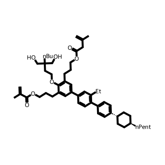 C=C(C)CC(=O)OCCCc1cc(-c2ccc(-c3ccc([C@H]4CC[C@H](CCCCC)CC4)cc3)c(CC)c2)cc(CCCOC(=O)C(=C)C)c1OCCC(CO)(CO)CCCC